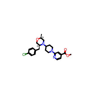 COC(=O)c1ccnc(N2CCC(N3C[C@H](C)OC[C@@H]3Cc3ccc(Cl)cc3)CC2)c1